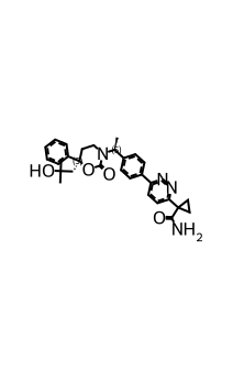 C[C@@H](c1ccc(-c2ccc(C3(C(N)=O)CC3)nn2)cc1)N1CC[C@](CC(C)(C)O)(c2ccccc2)OC1=O